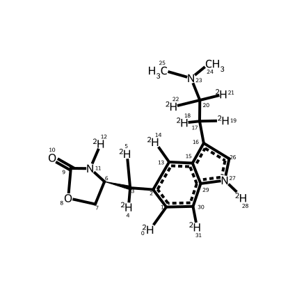 [2H]c1c(C([2H])([2H])[C@H]2COC(=O)N2[2H])c([2H])c2c(C([2H])([2H])C([2H])([2H])N(C)C)cn([2H])c2c1[2H]